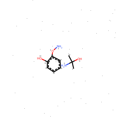 CC(C)(N)O.NOc1ccccc1O